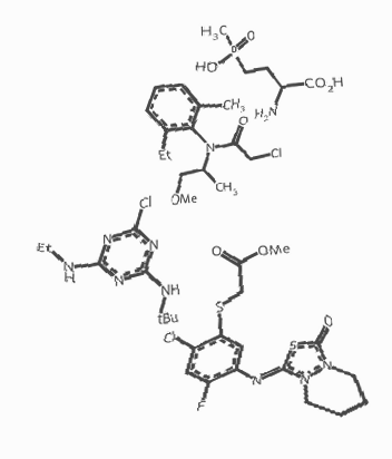 CCNc1nc(Cl)nc(NC(C)(C)C)n1.CCc1cccc(C)c1N(C(=O)CCl)C(C)COC.COC(=O)CSc1cc(/N=c2\sc(=O)n3n2CCCC3)c(F)cc1Cl.CP(=O)(O)CCC(N)C(=O)O